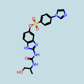 CC(CO)NC(=O)Nc1nc2cc(OS(=O)(=O)c3ccc(-n4ccnc4)cc3)ccc2[nH]1